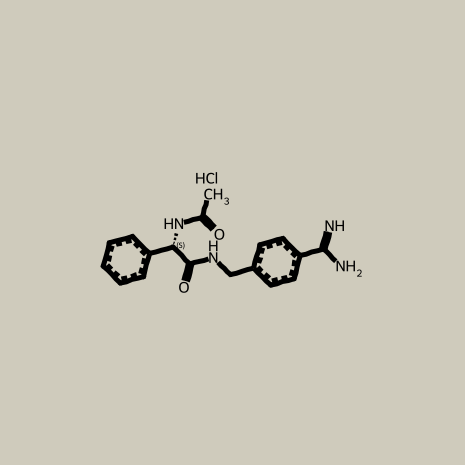 CC(=O)N[C@H](C(=O)NCc1ccc(C(=N)N)cc1)c1ccccc1.Cl